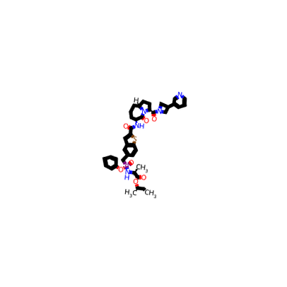 CC[C@H](C)OC(=O)[C@H](C)NP(=O)(Cc1ccc2sc(C(=O)N[C@H]3CCC[C@H]4CC[C@@H](C(=O)N5CC(c6cccnc6)C5)N4C3=O)cc2c1)Oc1ccccc1